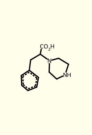 O=C(O)C(Cc1ccccc1)N1CCNCC1